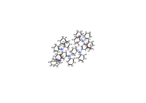 CC(C)(C)c1cc2c3c(c1)N(c1c(-c4ccccc4)cccc1-c1ccccc1)c1ccccc1B3c1cc3c(cc1N2c1ccccc1)N(c1ccccc1)c1cc(N2C4CC5CC(C4)CC2C5)cc2c1B3c1ccccc1N2c1c(-c2ccccc2)cccc1-c1ccccc1